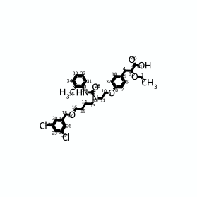 CCOC(Cc1ccc(OCCN(CCCCOCc2cc(Cl)cc(Cl)c2)C(=O)Nc2ccccc2C)cc1)C(=O)O